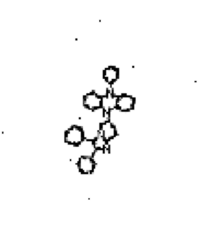 c1ccc(-c2nc3ccc(N4c5ccccc5N(c5ccccc5)c5ccccc54)cn3c2-c2ccccc2)cc1